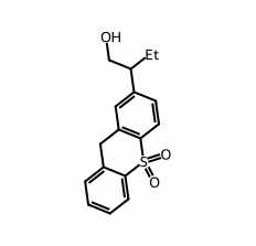 CCC(CO)c1ccc2c(c1)Cc1ccccc1S2(=O)=O